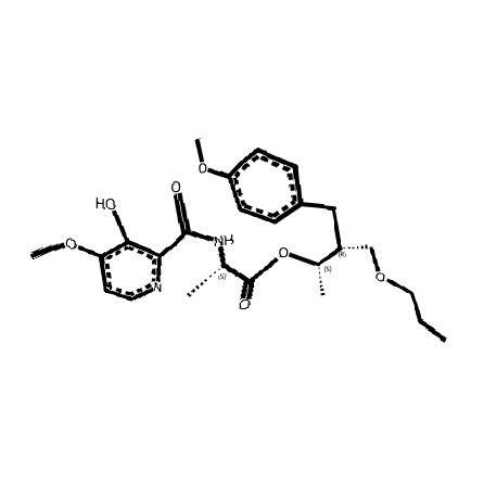 CCCOC[C@@H](Cc1ccc(OC)cc1)[C@H](C)OC(=O)[C@H](C)NC(=O)c1nccc(OC)c1O